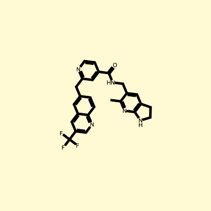 Cc1nc2c(cc1CNC(=O)c1ccnc(Cc3ccc4ncc(C(F)(F)F)cc4c3)c1)CCN2